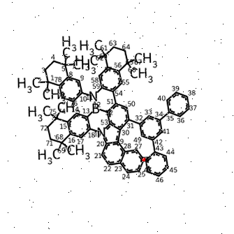 CC1(C)CCC(C)(C)c2cc(N3B4c5cc6c(cc5-n5c7ccc8ccccc8c7c7c(-c8cc(-c9ccccc9)cc(-c9ccccc9)c8)cc(c4c75)-c4cc5c(cc43)C(C)(C)CCC5(C)C)C(C)(C)CCC6(C)C)ccc21